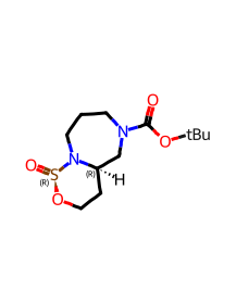 CC(C)(C)OC(=O)N1CCCN2[C@H](CCO[S@]2=O)C1